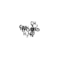 CC#CC(=O)N1CC2CC1(c1nc(-c3ccc(C(=O)Nc4ccccn4)cc3)c3c(N)nccn13)CO2